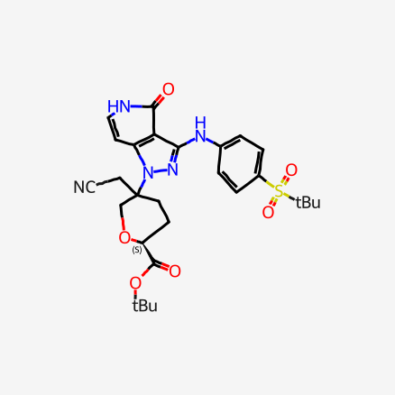 CC(C)(C)OC(=O)[C@@H]1CCC(CC#N)(n2nc(Nc3ccc(S(=O)(=O)C(C)(C)C)cc3)c3c(=O)[nH]ccc32)CO1